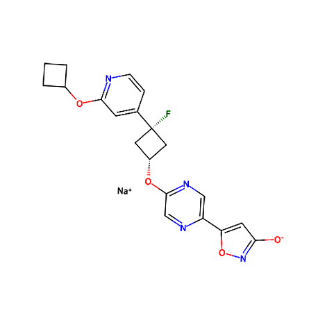 [Na+].[O-]c1cc(-c2cnc(O[C@H]3C[C@](F)(c4ccnc(OC5CCC5)c4)C3)cn2)on1